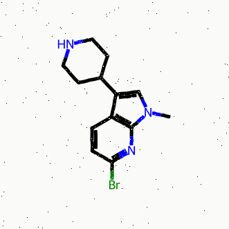 Cn1cc(C2CCNCC2)c2ccc(Br)nc21